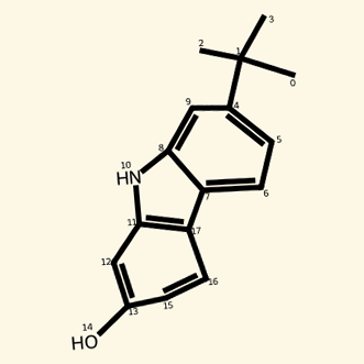 CC(C)(C)c1ccc2c(c1)[nH]c1cc(O)ccc12